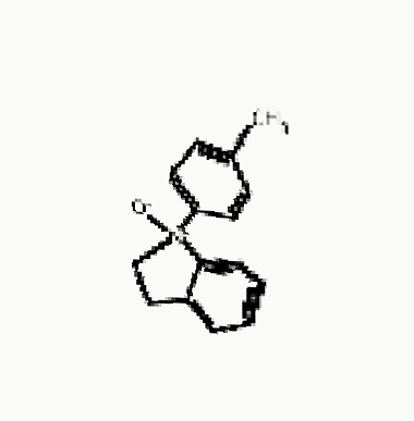 Cc1ccc([N+]2([O-])CCc3ccccc32)cc1